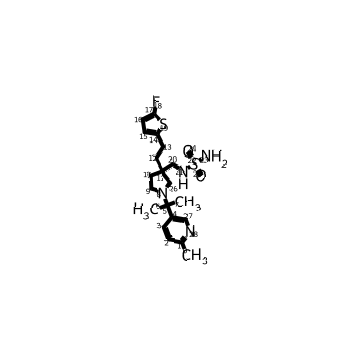 Cc1ccc(C(C)(C)N2CCC(CCc3ccc(F)s3)(CNS(N)(=O)=O)C2)cn1